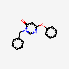 O=c1cc(Oc2ccccc2)ncn1Cc1ccccc1